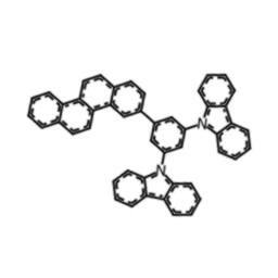 c1ccc2c(c1)ccc1c3cc(-c4cc(-n5c6ccccc6c6ccccc65)cc(-n5c6ccccc6c6ccccc65)c4)ccc3ccc21